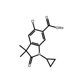 COC(=O)c1cc2c(cc1Cl)C(C)(C)C(=O)N2C1CC1